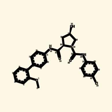 COc1ccccc1-c1ccc(NC(=O)[C@H]2C[C@@H](O)CN2C(=O)Nc2ccc(Cl)cc2)cc1